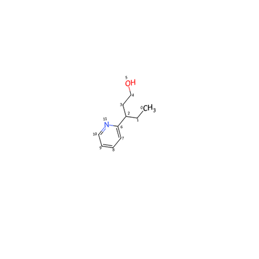 CCC(CCO)c1ccccn1